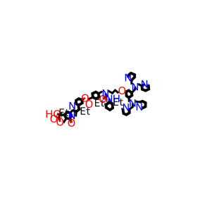 CCc1cccc(CC)c1NC(=O)N(CCCCOc1cc(CN(Cc2ccccn2)Cc2ccccn2)cc(CN(Cc2ccccn2)Cc2ccccn2)c1)Cc1ccc(C(=O)Oc2ccc3nc4c(c(CC)c3c2)Cn2c-4cc3c(c2=O)COC(=O)[C@@]3(O)CC)cc1